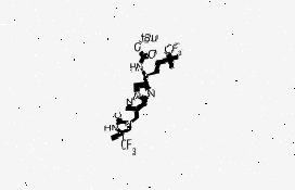 CC(C)(C)OC(=O)N[C@@H](CCC(C)(C)C(F)(F)F)c1cn2ncc(CN3C[C@](C)(C(F)(F)F)NC3=O)cc2n1